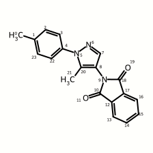 Cc1ccc(-n2ncc(N3C(=O)c4ccccc4C3=O)c2C)cc1